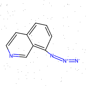 [N-]=[N+]=Nc1cccc2ccncc12